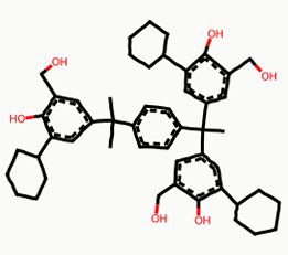 CC(C)(c1ccc(C(C)(c2cc(CO)c(O)c(C3CCCCC3)c2)c2cc(CO)c(O)c(C3CCCCC3)c2)cc1)c1cc(CO)c(O)c(C2CCCCC2)c1